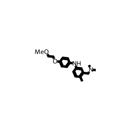 COCCOc1ccc(Nc2ccc(C)c(CN(C)C)c2)cc1